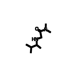 CC(C)C(C)NCC(=O)N(C)C